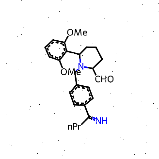 CCCC(=N)c1ccc(CN2C(C=O)CCCC2c2c(OC)cccc2OC)cc1